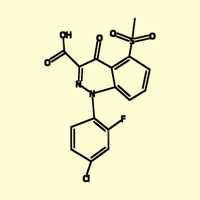 CS(=O)(=O)c1cccc2c1c(=O)c(C(=O)O)nn2-c1ccc(Cl)cc1F